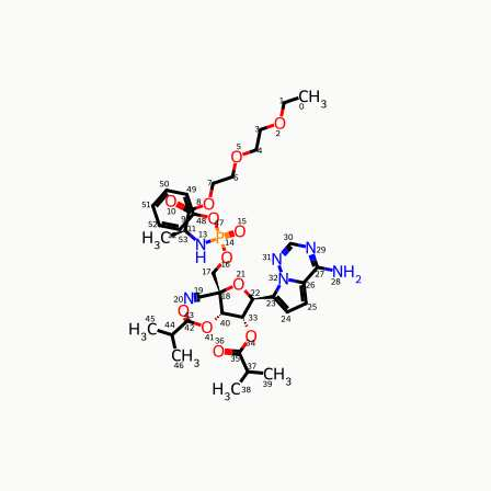 CCOCCOCCOC(=O)[C@H](C)NP(=O)(OC[C@@]1(C#N)O[C@@H](c2ccc3c(N)ncnn23)[C@H](OC(=O)C(C)C)[C@@H]1OC(=O)C(C)C)Oc1ccccc1